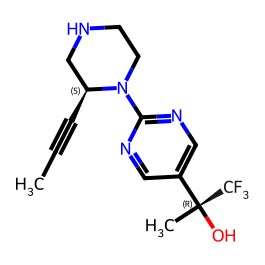 CC#C[C@H]1CNCCN1c1ncc([C@@](C)(O)C(F)(F)F)cn1